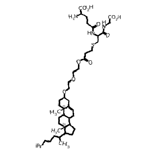 CC(C)CCCC(C)C1CCC2C3CC=C4CC(OCCOCCOC(=O)CCSCC(NC(=O)CCC(N)C(=O)O)C(=O)NCC(=O)O)CC[C@@]4(C)C3CC[C@@]12C